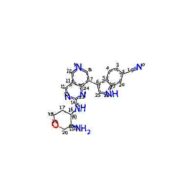 N#Cc1ccc2c(-c3cncc4cnc(N[C@@H]5CCOC[C@@H]5N)nc34)c[nH]c2c1